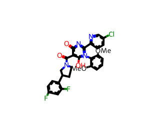 COc1cccc(OC)c1-n1c(-c2ccc(Cl)cn2)nc(=O)c(C(=O)N2CCC(c3ccc(F)cc3F)C2)c1O